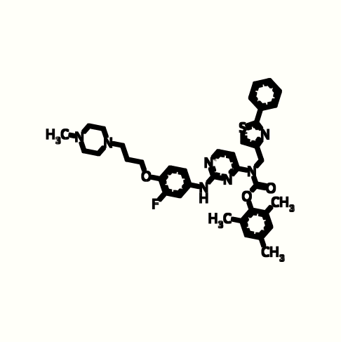 Cc1cc(C)c(OC(=O)N(Cc2csc(-c3ccccc3)n2)c2ccnc(Nc3ccc(OCCCN4CCN(C)CC4)c(F)c3)n2)c(C)c1